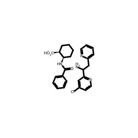 NC(Cc1ccccn1)c1cc(Cl)ccn1.O=C(N[C@@H]1CCCC[C@@H]1C(=O)O)c1ccccc1